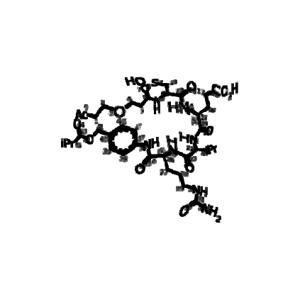 CC(=O)CCOCCC(=O)N[C@@H](CS(=O)(=O)O)C(=O)N[C@@H](CCC(=O)O)C(=O)N[C@H](C(=O)N[C@@H](CCCNC(N)=O)C(=O)Nc1ccc(COC(=O)C(C)C)cc1)C(C)C